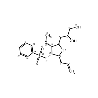 C=CC[C@@H]1OC(C[C@H](O)CO)[C@H](OC)[C@H]1CS(=O)(=O)c1ccccc1